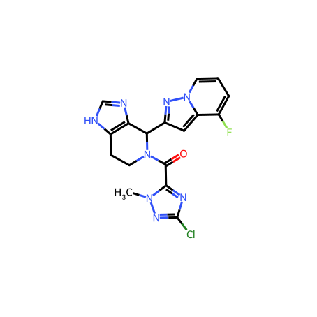 Cn1nc(Cl)nc1C(=O)N1CCc2[nH]cnc2C1c1cc2c(F)cccn2n1